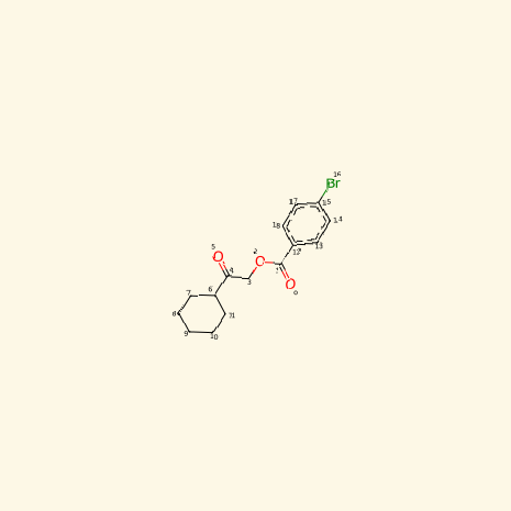 O=C(OCC(=O)C1CCCCC1)c1ccc(Br)cc1